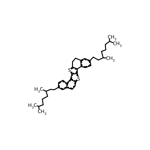 CC(C)CCCC(C)CCc1ccc2c(c1)CCc1sc3c(sc4ccc5cc(CCC(C)CCCC(C)C)ccc5c43)c1-2